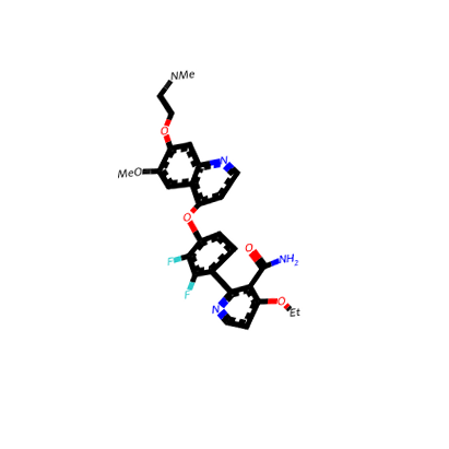 CCOc1ccnc(-c2ccc(Oc3ccnc4cc(OCCNC)c(OC)cc34)c(F)c2F)c1C(N)=O